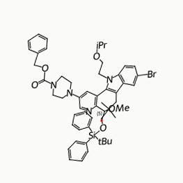 CO[C@@H](C)c1ncc(N2CCN(C(=O)OCc3ccccc3)CC2)cc1-c1c(CC(C)(C)CO[Si](c2ccccc2)(c2ccccc2)C(C)(C)C)c2cc(Br)ccc2n1CCOC(C)C